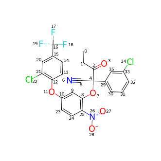 CCC(=O)C(C#N)(Oc1cc(Oc2ccc(C(F)(F)F)cc2Cl)ccc1[N+](=O)[O-])c1cccc(Cl)c1